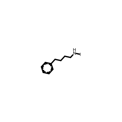 INCCCCc1ccccc1